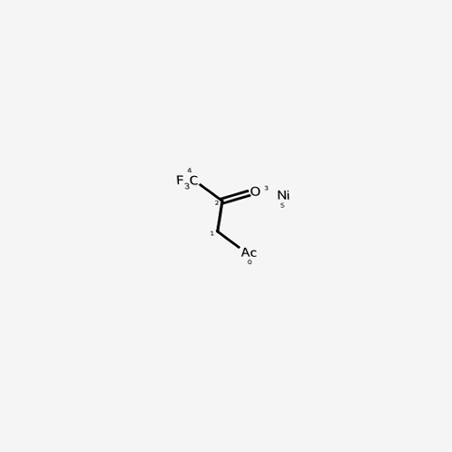 CC(=O)CC(=O)C(F)(F)F.[Ni]